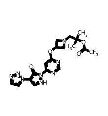 CC(C)(CN1CC(Oc2cc(-n3[nH]cc(-n4ccnn4)c3=O)ncn2)C1)OC(=O)C(F)(F)F